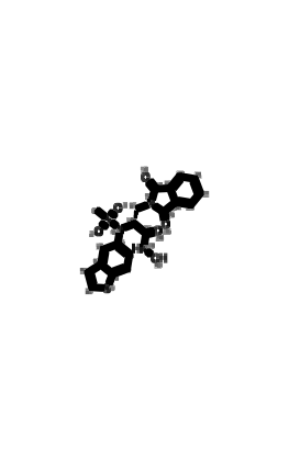 CS(=O)(=O)N(c1ccc2sccc2c1)[C@H](CN1C(=O)c2ccccc2C1=O)C(=O)NO